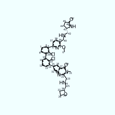 COc1nc(-c2cccc(-c3cccc(-c4cc5c(=O)n(C)c(CNC[C@@H]6CCO6)nn5c4)c3Cl)c2Cl)ccc1CNC[C@@H]1CCC(=O)N1